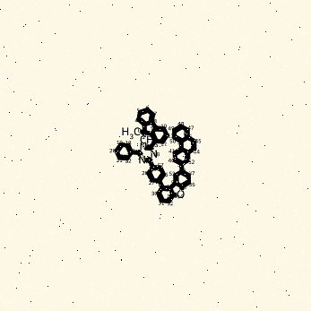 CC1(C)c2ccccc2-c2cccc(-c3nc(-c4ccccc4)nc(-c4ccc(-c5cccc6oc7ccc(-c8ccc9c(ccc%10ccccc%109)c8)cc7c56)cc4)n3)c21